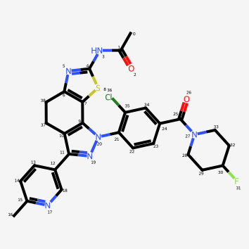 CC(=O)Nc1nc2c(s1)-c1c(c(-c3ccc(C)nc3)nn1-c1ccc(C(=O)N3CCC(F)CC3)cc1Cl)CC2